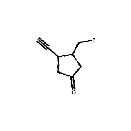 C#CC1CC(=O)CC1CF